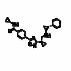 O=C(NC1CC1)c1ccc(-c2nc(C3(CN[C@H]4C[C@@H]4c4ccccc4)CC3)no2)cc1